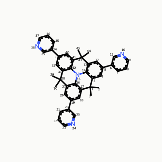 CC1(C)c2cc(-c3cccnc3)cc3c2N2c4c1cc(-c1cccnc1)cc4C(C)(C)c1cc(-c4cccnc4)cc(c12)C3(C)C